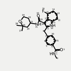 CNC(=O)c1ccc(Cc2[nH]c3cccc(F)c3c2C(=O)NC2CCOC(C)(C)C2)cc1